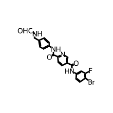 O=CNCc1ccc(NC(=O)c2ccc(C(=O)Nc3ccc(Br)c(F)c3)cn2)cc1